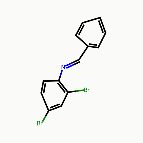 Brc1ccc(/N=C/c2ccccc2)c(Br)c1